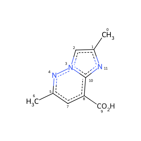 Cc1cn2nc(C)cc(C(=O)O)c2n1